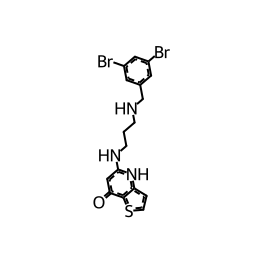 O=c1cc(NCCCNCc2cc(Br)cc(Br)c2)[nH]c2ccsc12